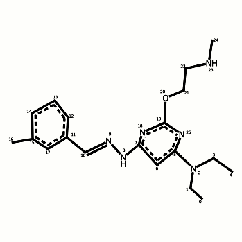 CCN(CC)c1cc(N/N=C/c2cccc(C)c2)nc(OCCNC)n1